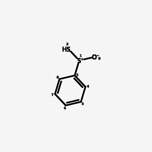 [O-][S+](S)c1ccccc1